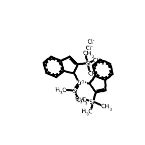 C[Si](C)=[Zr+2]([CH]1C([Si](C)(C)C)=Cc2ccccc21)[CH]1C([Si](C)(C)C)=Cc2ccccc21.[Cl-].[Cl-]